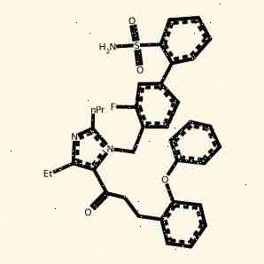 CCCc1nc(CC)c(C(=O)CCc2ccccc2Oc2ccccc2)n1Cc1ccc(-c2ccccc2S(N)(=O)=O)cc1F